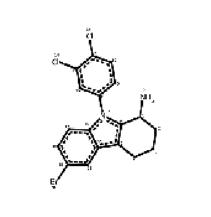 NC1CCCc2c1n(-c1ccc(Cl)c(Cl)c1)c1ccc(Br)cc21